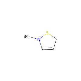 CC(C)N1C=CCS1